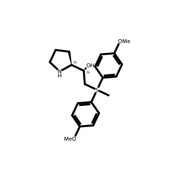 COc1ccc(S(C)(C[C@@H](O)[C@@H]2CCCN2)c2ccc(OC)cc2)cc1